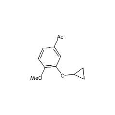 COc1ccc(C(C)=O)cc1OC1CC1